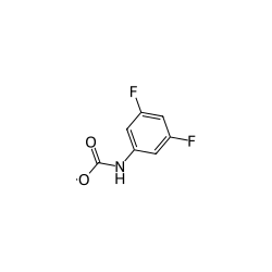 [O]C(=O)Nc1cc(F)cc(F)c1